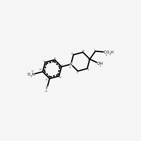 O=C(O)CC1(O)CCN(c2ccc([N+](=O)[O-])c(F)c2)CC1